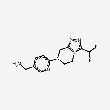 NCc1ccc(N2CCn3c(nnc3C(F)F)C2)nc1